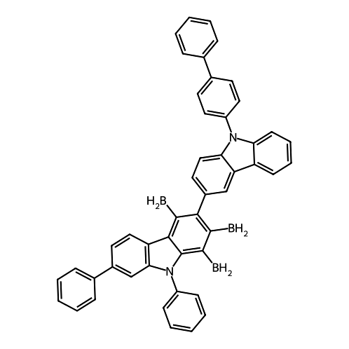 Bc1c(-c2ccc3c(c2)c2ccccc2n3-c2ccc(-c3ccccc3)cc2)c(B)c2c3ccc(-c4ccccc4)cc3n(-c3ccccc3)c2c1B